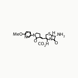 COc1ccc(N2CC/C(=C\C3=C(C(=O)O)N4C(=O)[C@@H](N)[C@H]4SC3)C2=O)cn1